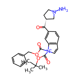 CC(C)(C)OC(=O)[N+]1(C(=O)OCc2ccccc2)C=Cc2ccc(C(=O)[C@@H]3CCN(N)C3)cc21